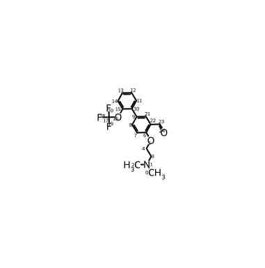 CN(C)CCOc1ccc(-c2ccccc2OC(F)(F)F)cc1C=O